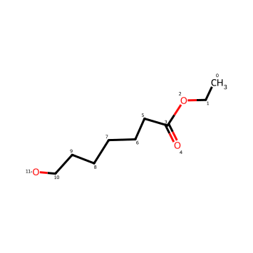 CCOC(=O)CCCCCC[O]